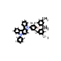 Cc1cc(C)c(B(c2ccc(-n3c4ccccc4c4c5c6ccccc6n(-c6ccccc6)c5ccc43)cc2)c2c(C)cc(C)cc2C)c(C)c1